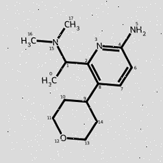 CC(c1nc(N)ccc1C1CCOCC1)N(C)C